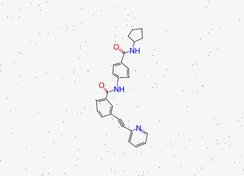 O=C(Nc1ccc(C(=O)NC2CCCC2)cc1)c1cccc(C#Cc2ccccn2)c1